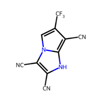 N#Cc1[nH]c2c(C#N)c(C(F)(F)F)cn2c1C#N